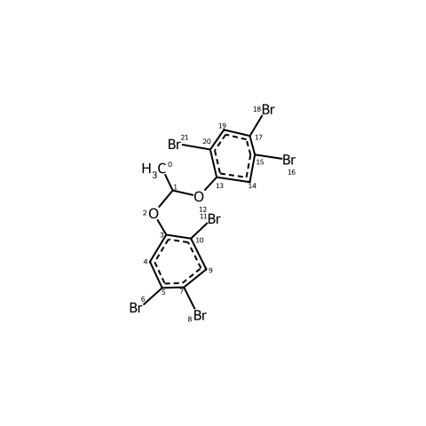 CC(Oc1cc(Br)c(Br)cc1Br)Oc1cc(Br)c(Br)cc1Br